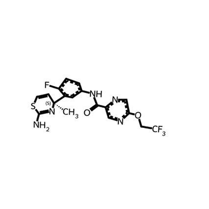 C[C@@]1(c2cc(NC(=O)c3cnc(OCC(F)(F)F)cn3)ccc2F)C=CSC(N)=N1